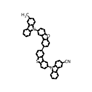 Cc1ccc2c(c1)c1ccccc1n2-c1ccc2oc3ccc(-c4ccc5sc6ccc(-n7c8ccccc8c8cc(C#N)ccc87)cc6c5c4)cc3c2c1